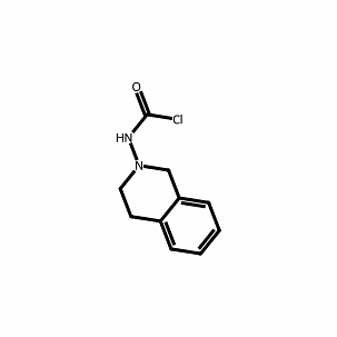 O=C(Cl)NN1CCc2ccccc2C1